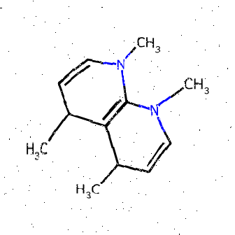 CC1C=CN(C)C2=C1C(C)C=CN2C